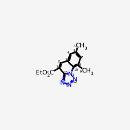 CCOC(=O)c1cc2cc(C)cc(C)c2n2nnnc12